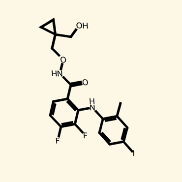 Cc1cc(I)ccc1Nc1c(C(=O)NOCC2(CO)CC2)ccc(F)c1F